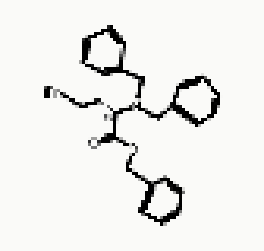 CC(C)CC[C@@H](C(=O)OCc1ccccc1)N(Cc1ccccc1)Cc1ccccc1